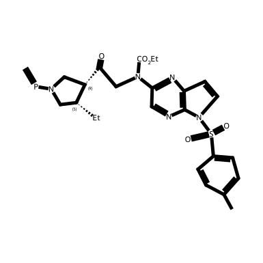 C=PN1C[C@@H](CC)[C@@H](C(=O)CN(C(=O)OCC)c2cnc3c(ccn3S(=O)(=O)c3ccc(C)cc3)n2)C1